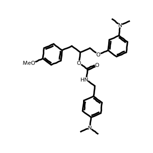 COc1ccc(CC(COc2cccc(N(C)C)c2)OC(=O)NCc2ccc(N(C)C)cc2)cc1